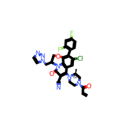 C=CC(=O)N1CCN(c2c(C#N)c(=O)n3c4c(c(-c5ccc(F)cc5F)c(Cl)cc24)OCC3Cn2ccnn2)[C@@H](C)C1